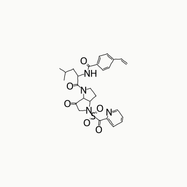 C=Cc1ccc(C(=O)NC(CC(C)C)C(=O)N2CCC3C2C(=O)CN3S(=O)(=O)C(=O)c2ccccn2)cc1